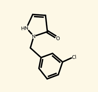 O=c1cc[nH]n1Cc1cccc(Cl)c1